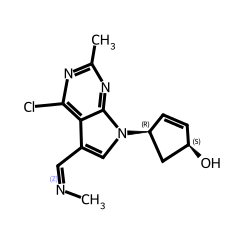 C/N=C\c1cn([C@H]2C=C[C@@H](O)C2)c2nc(C)nc(Cl)c12